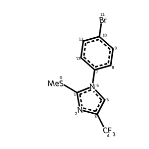 CSc1nc(C(F)(F)F)cn1-c1ccc(Br)cc1